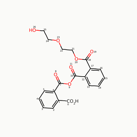 O=C(O)c1ccccc1C(=O)OC(=O)c1ccccc1C(=O)OCCOCCO